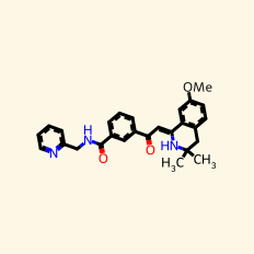 COc1ccc2c(c1)C(=CC(=O)c1cccc(C(=O)NCc3ccccn3)c1)NC(C)(C)C2